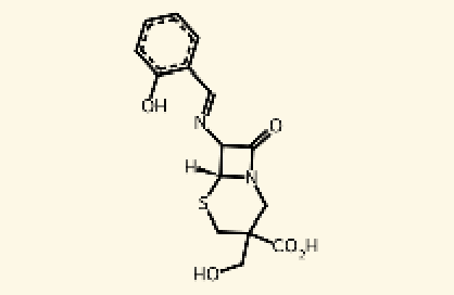 O=C1C(N=Cc2ccccc2O)[C@H]2SCC(CO)(C(=O)O)CN12